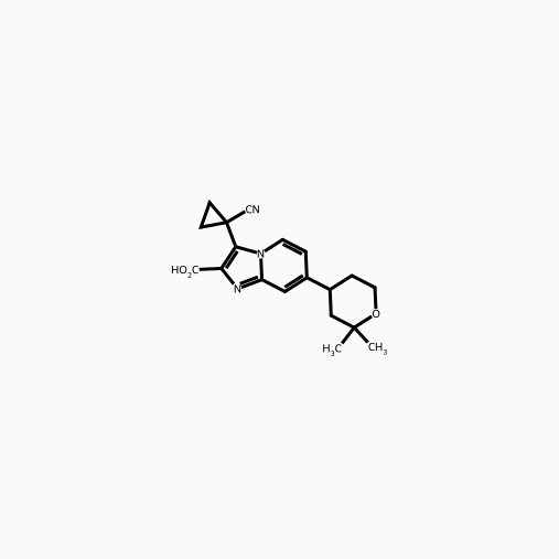 CC1(C)CC(c2ccn3c(C4(C#N)CC4)c(C(=O)O)nc3c2)CCO1